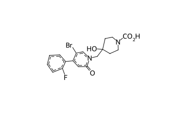 O=C(O)N1CCC(O)(Cn2cc(Br)c(-c3ccccc3F)cc2=O)CC1